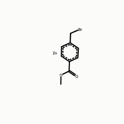 COC(=O)c1ccc(CBr)cc1.[Zn]